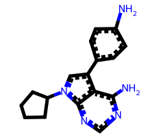 Nc1ccc(-c2cn(C3CCCC3)c3ncnc(N)c23)cc1